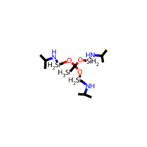 CC(C)N[SiH2]OC([SiH3])(O[SiH2]NC(C)C)O[SiH2]NC(C)C